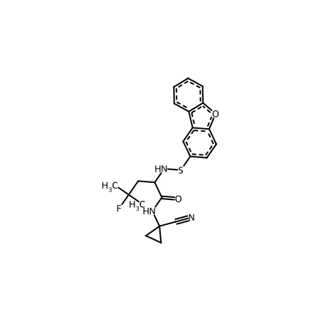 CC(C)(F)CC(NSc1ccc2oc3ccccc3c2c1)C(=O)NC1(C#N)CC1